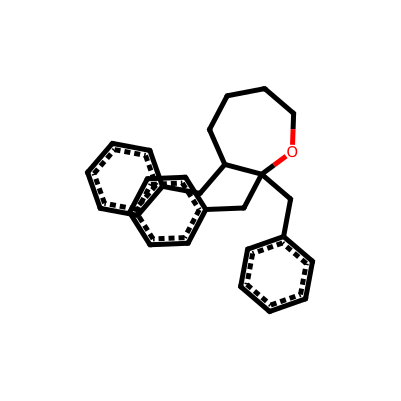 c1ccc(CC2CCCCOC2(Cc2ccccc2)Cc2ccccc2)cc1